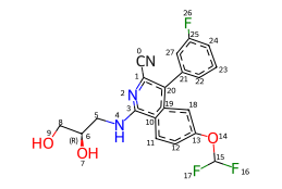 N#Cc1nc(NC[C@@H](O)CO)c2ccc(OC(F)F)cc2c1-c1cccc(F)c1